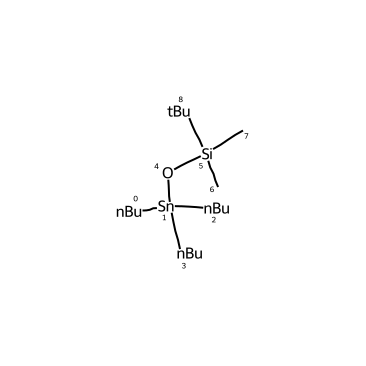 CCC[CH2][Sn]([CH2]CCC)([CH2]CCC)[O][Si](C)(C)C(C)(C)C